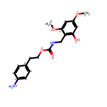 COc1cc(O)c(CNC(=O)OCCc2ccc(N)cc2)c(OC)c1